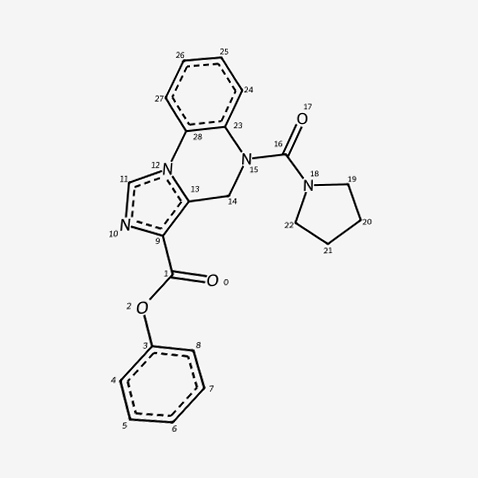 O=C(Oc1ccccc1)c1ncn2c1CN(C(=O)N1CCCC1)c1ccccc1-2